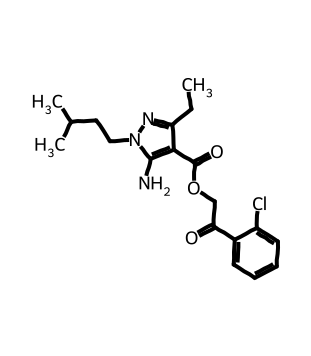 CCc1nn(CCC(C)C)c(N)c1C(=O)OCC(=O)c1ccccc1Cl